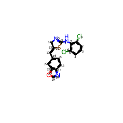 Clc1cccc(Cl)c1NC1=NC/C(=C/c2ccc3ncoc3c2)S1